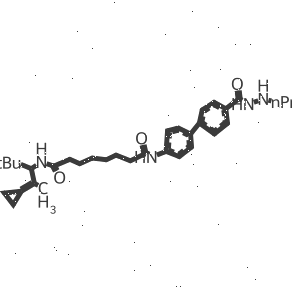 CCCNNC(=O)c1ccc(-c2ccc(NC(=O)CCCCCCC(=O)NC(C(C)=C3CC3)C(C)(C)C)cc2)cc1